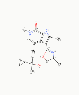 Cc1[nH]c2c(=O)n(C)cc(C#CC(C)(O)C3CC3)c2c1C1=NC(C(C)C)CO1